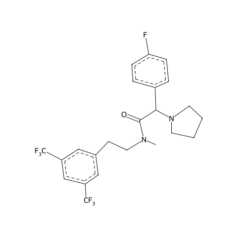 CN(CCc1cc(C(F)(F)F)cc(C(F)(F)F)c1)C(=O)C(c1ccc(F)cc1)N1CCCC1